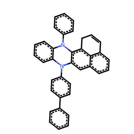 C1=Cc2cccc3cc4c(c(c23)C1)N(c1ccccc1)c1ccccc1N4c1ccc(-c2ccccc2)cc1